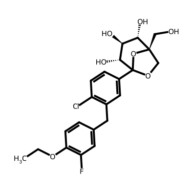 CCOc1ccc(Cc2cc(C34OC[C@](CO)(O3)[C@@H](O)[C@H](O)[C@H]4O)ccc2Cl)cc1F